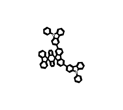 c1ccc(-n2c3ccccc3c3cc(-c4ccc5c(c4)-c4ccc(-c6ccc7c(c6)c6ccccc6n7-c6ccccc6)cc4C54c5ccccc5C5(c6ccccc6-c6ccccc65)c5ccccc54)ccc32)cc1